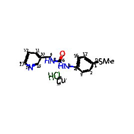 CSc1ccc(NC(=O)NCc2cccnc2)cc1.Cl.[Cu]